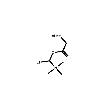 CCCCCCCC(=O)OC(CC)[N+](C)(C)C